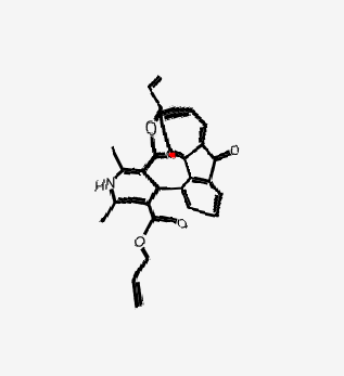 C=CCOC(=O)C1=C(C)NC(C)=C(C(=O)OCC=C)C1c1cccc2c1-c1ccccc1C2=O